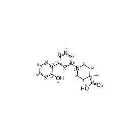 CC1(C(=O)O)CCN(c2cnnc(-c3ccccc3O)c2)CC1